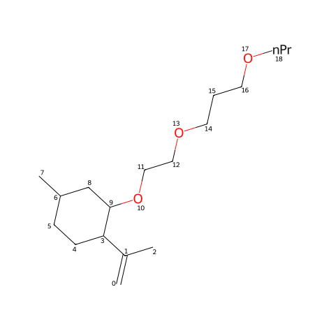 C=C(C)C1CCC(C)CC1OCCOCCCOCCC